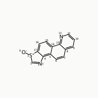 [O-][s+]1cnc2c3ccc4cccnc4c3ccc21